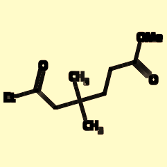 CCC(=O)CC(C)(C)CCC(=O)OC